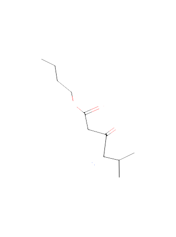 CCCCOC(=O)CC(=O)[C@@H](N)C(C)C